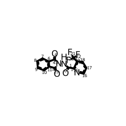 O=C(NN1C(=O)c2ccccc2C1=O)c1ncccc1C(F)(F)F